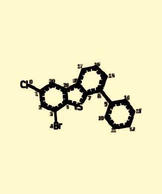 Clc1cc(Br)c2sc3c(-c4ccccc4)cccc3c2c1